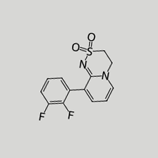 O=S1(=O)CCN2C=CC=C(c3cccc(F)c3F)C2=N1